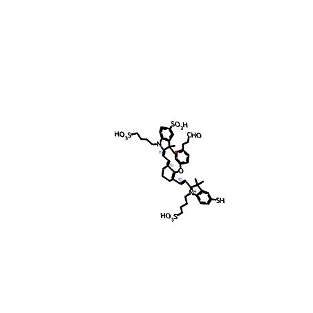 CC1(C)C(/C=C/C2=C(Oc3ccc(CCC=O)cc3)C(=C/C=C3/N(CCCCS(=O)(=O)O)c4ccc(S(=O)(=O)O)cc4C3(C)C)/CCC2)=[N+](CCCCS(=O)(=O)O)c2ccc(S)cc21